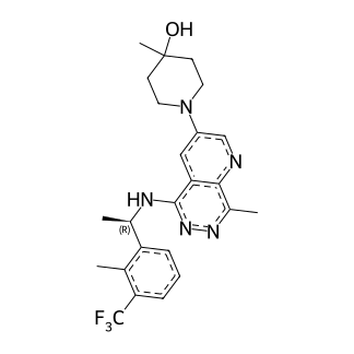 Cc1c([C@@H](C)Nc2nnc(C)c3ncc(N4CCC(C)(O)CC4)cc23)cccc1C(F)(F)F